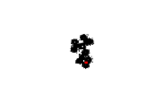 c1ccc(-c2cccc3nc(-c4cccc(-c5cc(-n6c7ccccc7c7ccccc76)cc(-n6c7ccccc7c7ccccc76)c5)c4)n(-c4ccccc4)c23)cc1